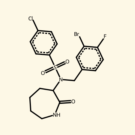 O=C1NCCCCC1N(Cc1ccc(F)c(Br)c1)S(=O)(=O)c1ccc(Cl)cc1